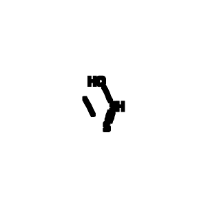 CC.O[SH]=S